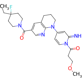 CCC1(F)CCN(C(=O)c2cnc3c(c2)CCCN3c2ccn(C(=O)CCOC)c(=N)c2)CC1